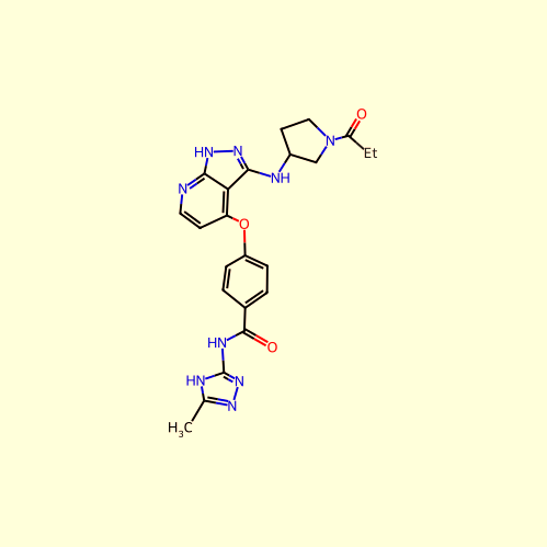 CCC(=O)N1CCC(Nc2n[nH]c3nccc(Oc4ccc(C(=O)Nc5nnc(C)[nH]5)cc4)c23)C1